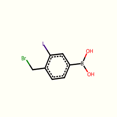 OB(O)c1ccc(CBr)c(I)c1